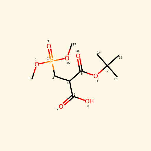 COP(=O)(CC(C(=O)O)C(=O)OC(C)(C)C)OC